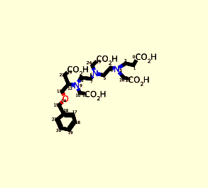 O=C(O)CCN(CCN(CCN(CC(=O)O)C(COCc1ccccc1)CC(=O)O)CC(=O)O)CC(=O)O